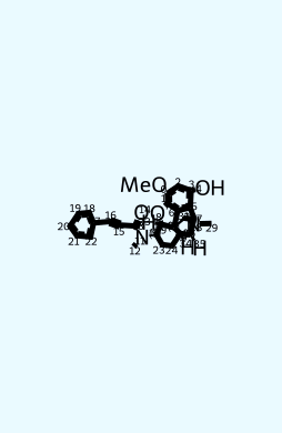 COc1cc(O)c2c3c1O[C@H]1[C@@H](N(C)C(=O)C#Cc4ccccc4)CC[C@H]4[C@@H](C2)N(C)CC[C@@]341